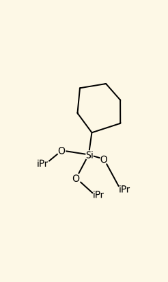 CC(C)O[Si](OC(C)C)(OC(C)C)C1CCCCC1